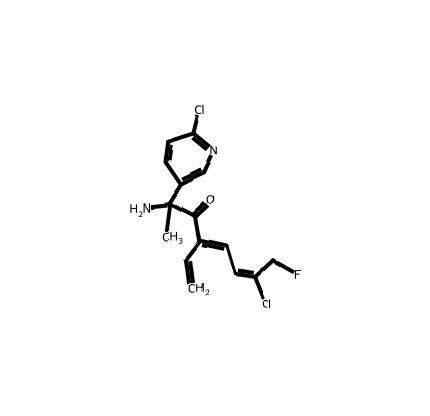 C=C/C(=C\C=C(\Cl)CF)C(=O)C(C)(N)c1ccc(Cl)nc1